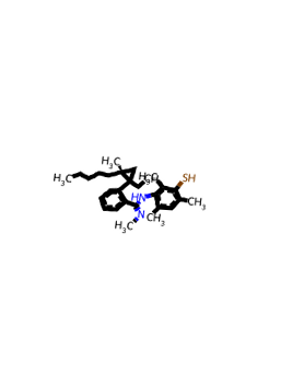 CCCCC[C@]1(C)CC1(CC)c1ccccc1/C(=N\C)Nc1c(C)cc(C)c(S)c1C